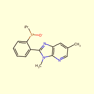 Cc1cnc2c(c1)nc(-c1ccccc1[S+]([O-])C(C)C)n2C